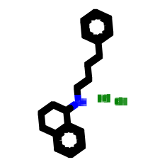 Cl.Cl.c1ccc(CCCCNC2CCCc3ccccc32)cc1